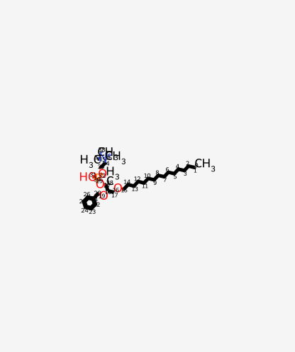 CCCCCCCCCCCCCCCCOCC(OCc1ccccc1)C(C)OP(O)OCC[N+](C)(C)C